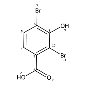 O=C(O)c1ccc(Br)c(O)c1Br